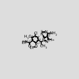 CCNC(=O)c1c(C)c(Cl)cc(C(C)n2nc(I)c3c(N)ncnc32)c1OCC